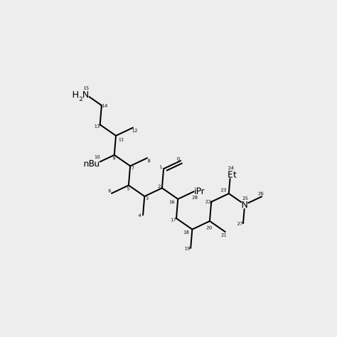 C=CC(C(C)C(C)C(C)C(CCCC)C(C)CCN)C(CC(C)C(C)CC(CC)N(C)C)C(C)C